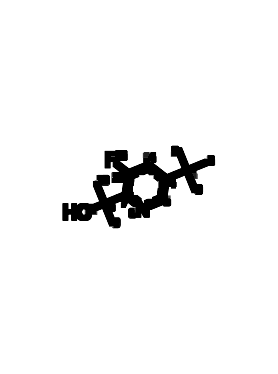 CC(C)(C)c1cnc(C(C)(C)O)c(F)c1